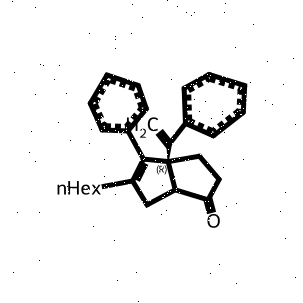 C=C(c1ccccc1)[C@@]12CCC(=O)C1CC(CCCCCC)=C2c1ccccc1